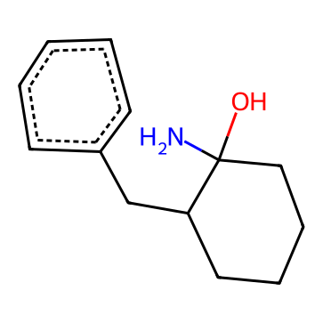 NC1(O)CCCCC1Cc1ccccc1